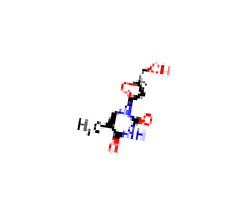 Cc1cn(C2C[C@@H](CO)O2)c(=O)[nH]c1=O